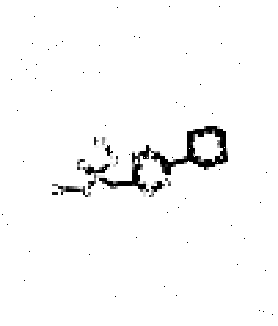 CCOP(=O)(Cc1nnc(-c2ccccc2)nn1)OCC